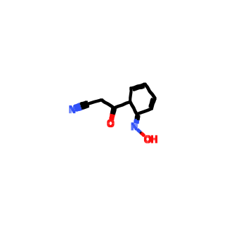 N#CCC(=O)C1C=CC=CC1=NO